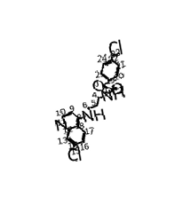 O=S(=O)(NCCCNc1ccnc2cc(Cl)ccc12)c1ccc(Cl)cc1